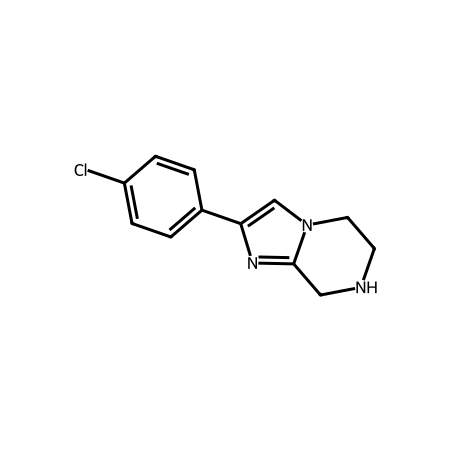 Clc1ccc(-c2cn3c(n2)CNCC3)cc1